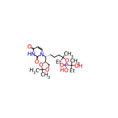 CCC(C)(CCC[C@H]([C@H]1COC(C)(C)O1)n1ccc(=O)[nH]c1=O)OP(=O)(O)C(C)(O)CC